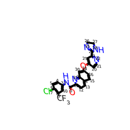 O=C(Nc1ccc(Cl)c(C(F)(F)F)c1)c1ccc2ccc(Oc3ccnc(C4=NCCN4)c3)cc2n1